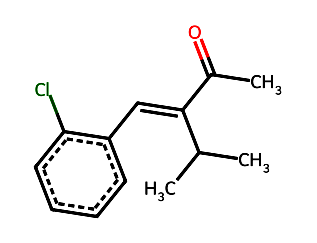 CC(=O)/C(=C/c1ccccc1Cl)C(C)C